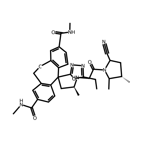 CCc1nnc(C2(C[C@H](C)NCC(=O)N3C(C#N)C[C@H](C)C3C)c3ccc(C(=O)NC)cc3CCc3cc(C(=O)NC)ccc32)o1